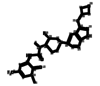 CN(C(=O)Nc1cc(C(F)(F)F)cn(C)c1=O)[C@@H]1CCN(c2cnc3[nH]nc(OC4COC4)c3c2)C[C@@H]1F